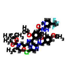 CCOc1cc(C(=O)Nc2cc(C(F)(F)F)ccn2)ccc1-c1nc([C@@H]2CN(C(=O)OC(C)(C)C)[C@@H](C)CO2)n2c(Cl)cnc(NCc3ccc(OC)cc3OC)c12